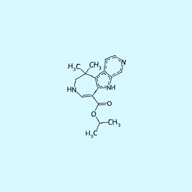 CC(C)OC(=O)C1=CNCC(C)(C)c2c1[nH]c1cnccc21